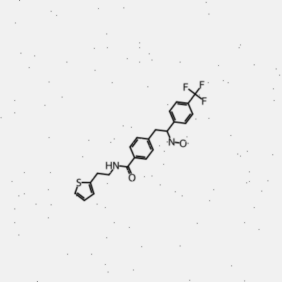 [O][N]C(Cc1ccc(C(=O)NCCc2cccs2)cc1)c1ccc(C(F)(F)F)cc1